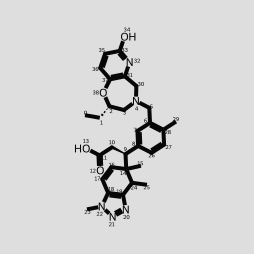 CC[C@H]1CN(Cc2cc([C@H](CC(=O)O)C3(C)C=Cc4c(nnn4C)C3C)ccc2C)Cc2nc(O)ccc2O1